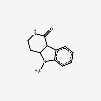 CN1c2ccccc2C2C(=O)NCCC21